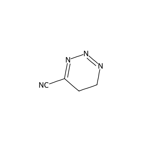 N#CC1=NN=NCC1